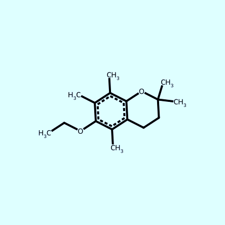 CCOc1c(C)c(C)c2c(c1C)CCC(C)(C)O2